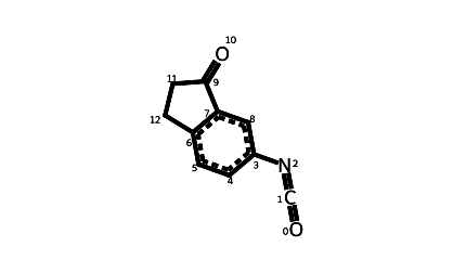 O=C=Nc1ccc2c(c1)C(=O)CC2